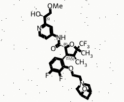 COC[C@@H](O)c1cc(NC(=O)[C@@H]2O[C@@](C)(C(F)(F)F)[C@@H](C)[C@H]2c2ccc(F)c(F)c2OCCN2CC3CC(C2)O3)ccn1